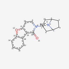 CN1C2CCC1CC(n1ccc3oc4ccccc4c3c1=O)C2